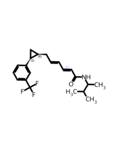 CC(C)C(C)NC(=O)/C=C/C=CC[C@@H]1C[C@@H]1c1cccc(C(F)(F)F)c1